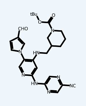 [C-]#[N+]c1cnc(Nc2cc(NCC3CCCN(C(=O)OC(C)(C)C)C3)c(-n3ccc(C=O)c3)cn2)cn1